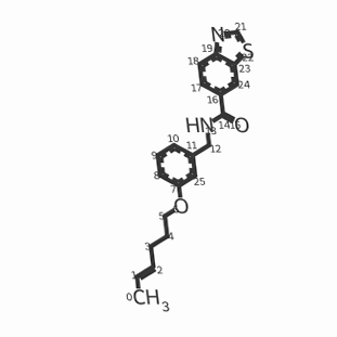 CC=CCCCOc1cccc(CNC(=O)c2ccc3ncsc3c2)c1